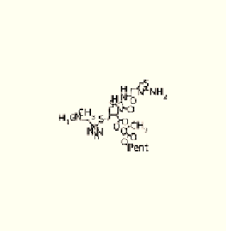 CCCC(C)OC(=O)OC(C)OC(=O)C1=C(CSc2nnnn2CCN(C)C)CS[C@H]2[C@H](NC(=O)Cc3csc(N)n3)C(=O)N12